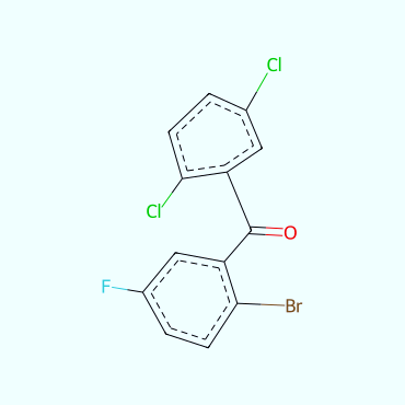 O=C(c1cc(Cl)ccc1Cl)c1cc(F)ccc1Br